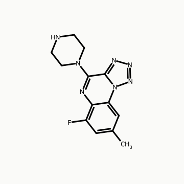 Cc1cc(F)c2nc(N3CCNCC3)c3nnnn3c2c1